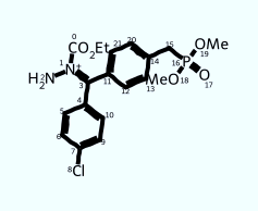 CCOC(=O)[N+](N)=C(c1ccc(Cl)cc1)c1ccc(CP(=O)(OC)OC)cc1